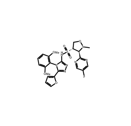 COc1cccc(OC)c1-n1c(NS(=O)(=O)[C@@H]2CON(C)[C@H]2c2ncc(F)cn2)nnc1-c1ccco1